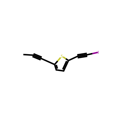 CC#Cc1ccc(C#CI)s1